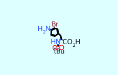 CC(C)(C)OC(=O)N[C@@H](Cc1ccc(N)c(Br)c1)C(=O)O